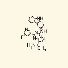 CC(N)c1cnn2c(N[C@@H]3CCc4[nH]c5ccccc5c4C3)nc(-c3cncc(F)c3)nc12